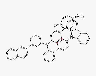 C=C1C=Cc2oc3cc(N(c4cccc(-c5ccc6ccccc6c5)c4)c4ccccc4-c4ccc(-n5c6ccccc6c6ccccc65)cc4)ccc3c2C=C1